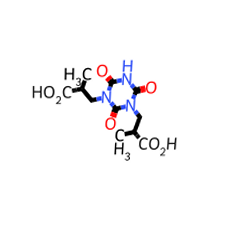 CC(Cn1c(=O)[nH]c(=O)n(CC(C)C(=O)O)c1=O)C(=O)O